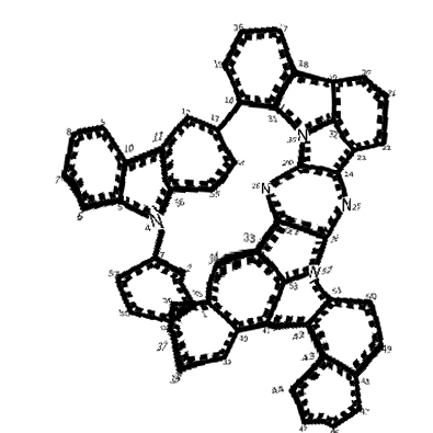 c1ccc(-n2c3ccccc3c3cc(-c4cccc5c6cccc7c8nc9c(nc8n(c45)c67)c4cc5ccccc5c5c6c7ccccc7ccc6n9c45)ccc32)cc1